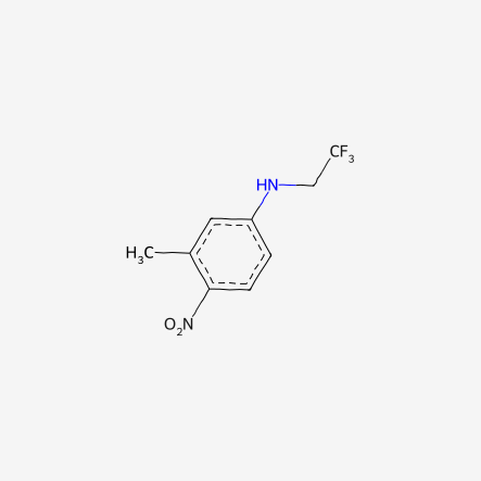 Cc1cc(NCC(F)(F)F)ccc1[N+](=O)[O-]